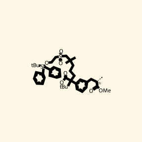 COC(=O)[C@@H](C)Cc1cccc(C(C)(CCCC(C)(C)CS(=O)(=O)CCO[Si](c2ccccc2)(c2ccccc2)C(C)(C)C)C(=O)OC(C)(C)C)c1